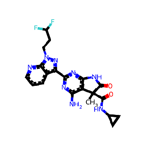 CC1(C(=O)NC2CC2)C(=O)Nc2nc(-c3nn(CCC(F)F)c4ncccc34)nc(N)c21